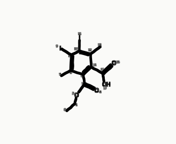 CCOC(=O)c1c(C)c(I)c(I)c(C)c1C(=O)O